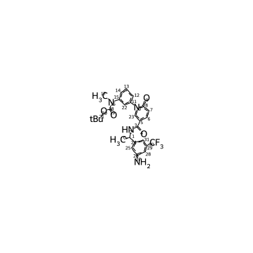 C[C@@H](NC(=O)c1ccc(=O)n(-c2cccc(N(C)C(=O)OC(C)(C)C)c2)c1)c1cc(N)cc(C(F)(F)F)c1